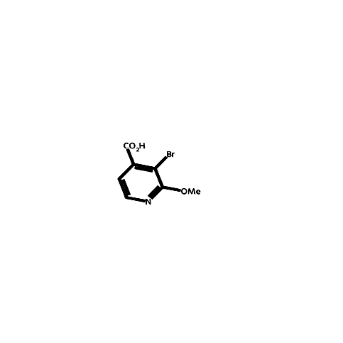 COc1nccc(C(=O)O)c1Br